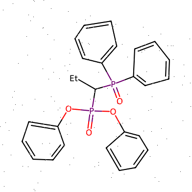 CCC(P(=O)(Oc1ccccc1)Oc1ccccc1)P(=O)(c1ccccc1)c1ccccc1